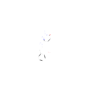 COc1ccccc1CCNc1ccc(=O)[nH]n1